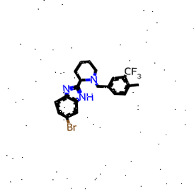 Cc1ccc(CN2CCCCC2c2nc3ccc(Br)cc3[nH]2)cc1C(F)(F)F